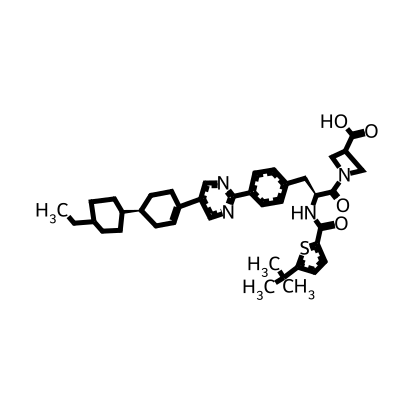 CCC1CCC([C@@H]2CC=C(c3cnc(-c4ccc(C[C@H](NC(=O)c5ccc(C(C)(C)C)s5)C(=O)N5CC(C(=O)O)C5)cc4)nc3)CC2)CC1